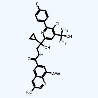 COc1cc(C(=O)NCC(O)(c2cc(C(C)(C)O)c(Cl)c(-c3ccc(F)cc3)n2)C2CC2)cc2cc(C(F)(F)F)cnc12